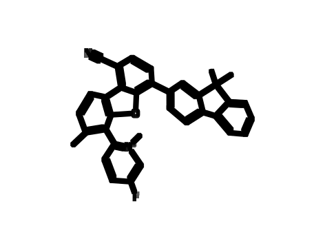 Cc1ccc2c(oc3c(-c4ccc5c(c4)C(C)(C)c4ccccc4-5)ccc(C#N)c32)c1-c1ccc(F)c[n+]1C